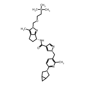 Cc1nc(N2CC3CC3C2)ccc1Cn1cc(C(=O)N[C@@H]2CCc3c2nn(COCC[Si](C)(C)C)c3C)cn1